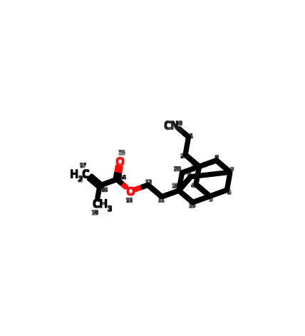 [C-]#[N+]CCC12CC3CC(C1)CC(CCOC(=O)C(=C)C)(C3)C2